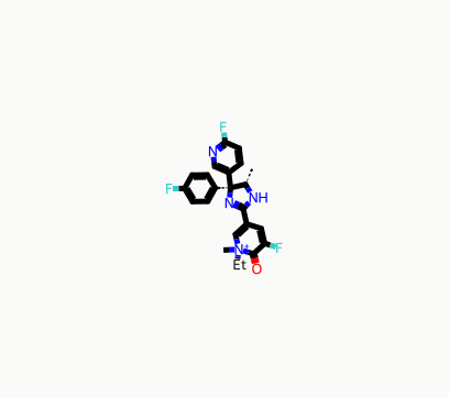 CC[N+]1(C)C=C(C2=N[C@@](c3ccc(F)cc3)(c3ccc(F)nc3)[C@H](C)N2)C=C(F)C1=O